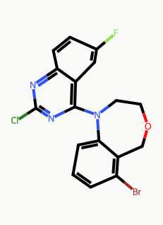 Fc1ccc2nc(Cl)nc(N3CCOCc4c(Br)cccc43)c2c1